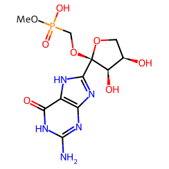 COP(=O)(O)CO[C@@]1(c2nc3nc(N)[nH]c(=O)c3[nH]2)OC[C@@H](O)[C@H]1O